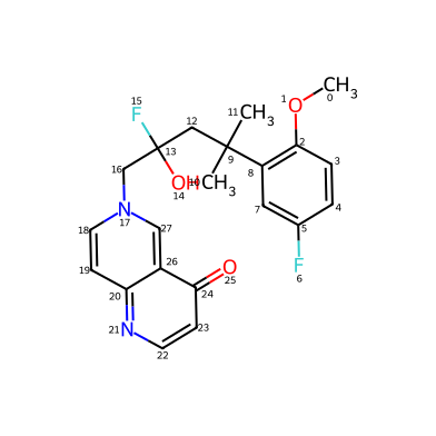 COc1ccc(F)cc1C(C)(C)CC(O)(F)Cn1ccc2nccc(=O)c-2c1